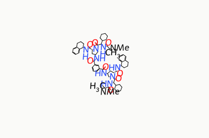 CN[C@@H](C)C(=O)N[C@H](C(=O)N1C[C@@H](NC(=O)c2cccc(C(=O)N[C@H]3C[C@@H](C(=O)N[C@@H]4CCCc5ccccc54)N(C(=O)[C@@H](NC(=O)[C@H](C)NC)C4CCCCC4)C3)c2)C[C@H]1C(=O)N[C@@H]1CCCc2ccccc21)C1CCCCC1